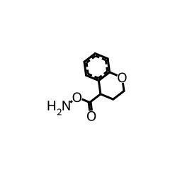 NOC(=O)C1CCOc2ccccc21